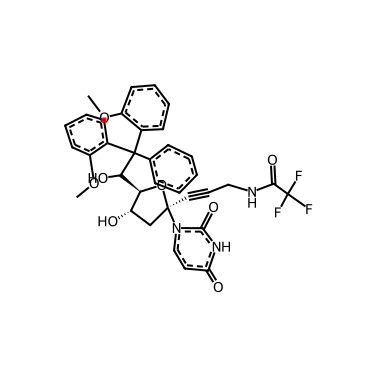 COc1ccccc1C(c1ccccc1)(c1ccccc1OC)C(O)[C@H]1O[C@@](C#CCNC(=O)C(F)(F)F)(n2ccc(=O)[nH]c2=O)C[C@@H]1O